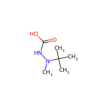 CN(NC(=O)O)C(C)(C)C